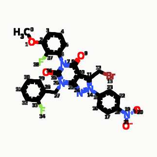 COc1cccc(-n2c(=O)c3c(CBr)n(-c4ccc([N+](=O)[O-])cc4)nc3n(Cc3ccccc3F)c2=O)c1F